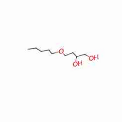 CCCCCOCCC(O)CO